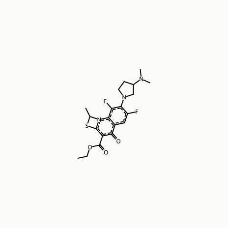 CCOC(=O)c1c2n(c3c(F)c(N4CCC(N(C)C)C4)c(F)cc3c1=O)C(C)S2